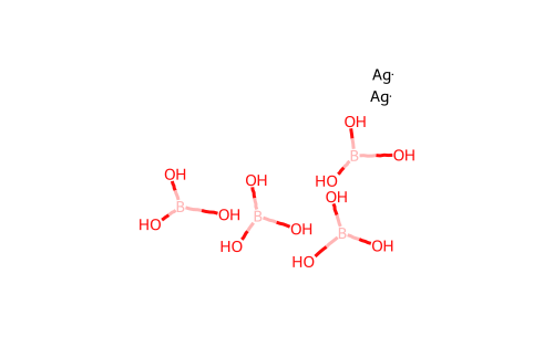 OB(O)O.OB(O)O.OB(O)O.OB(O)O.[Ag].[Ag]